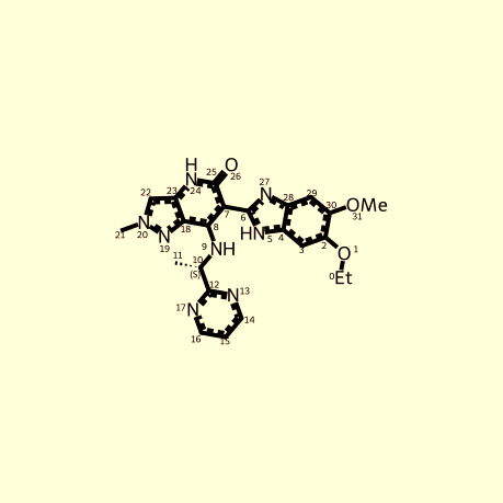 CCOc1cc2[nH]c(-c3c(N[C@@H](C)c4ncccn4)c4nn(C)cc4[nH]c3=O)nc2cc1OC